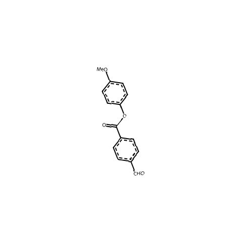 COc1ccc(OC(=O)c2ccc(C=O)cc2)cc1